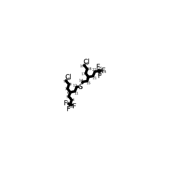 FC(F)(F)CCC(CCCCl)CCSCCC(CCCCl)CCC(F)(F)F